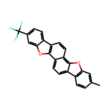 Cc1ccc2c(c1)oc1c2ccc2c1ccc1c3ccc(C(F)(F)F)cc3oc12